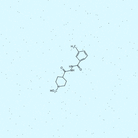 Cc1cccc(C(=O)NNC(=O)C2CCN(C(=O)O)CC2)c1